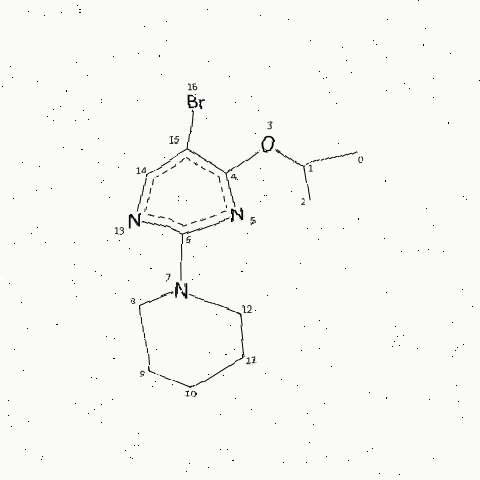 CC(C)Oc1nc(N2CCCCC2)ncc1Br